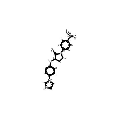 O=C1C(Oc2ccc(-n3ccnc3)cc2)CCN1c1ccc([SH](=O)=O)cc1